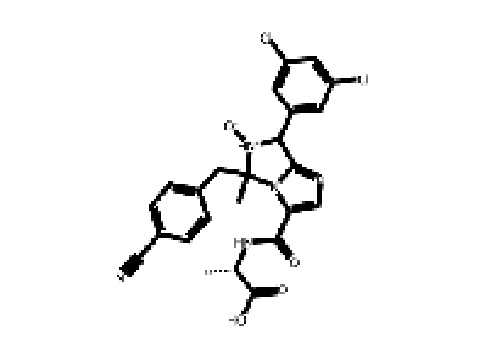 C[C@H](NC(=O)c1cnc2n1C(C)(Cc1ccc(C#N)cc1)[NH+]([O-])C2c1cc(Cl)cc(Cl)c1)C(=O)O